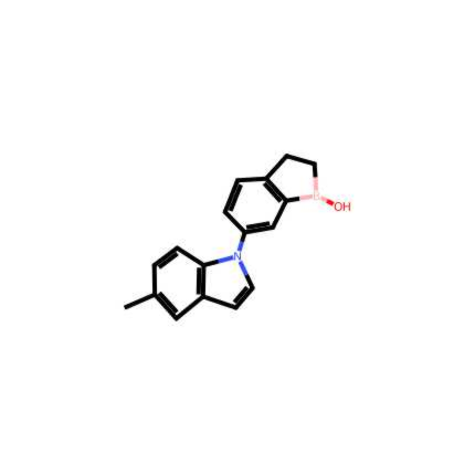 Cc1ccc2c(ccn2-c2ccc3c(c2)B(O)CC3)c1